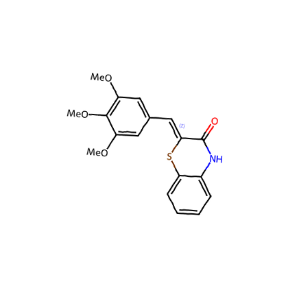 COc1cc(/C=C2\Sc3ccccc3NC2=O)cc(OC)c1OC